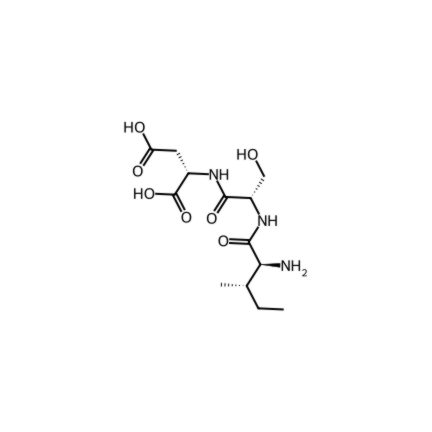 CC[C@H](C)[C@H](N)C(=O)N[C@@H](CO)C(=O)N[C@@H](CC(=O)O)C(=O)O